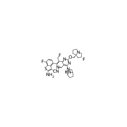 N#Cc1c(N)sc2c(F)ccc(-c3ncc4c(N5CC6CCC(C5)N6)nc(OC[C@@]56CCCN5C[C@H](F)C6)nc4c3CF)c12